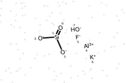 O=[Si]([O-])[O-].[Al+3].[F-].[K+].[OH-]